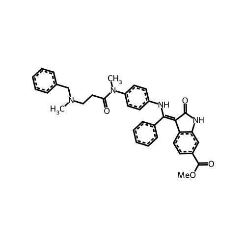 COC(=O)c1ccc2c(c1)NC(=O)/C2=C(\Nc1ccc(N(C)C(=O)CCN(C)Cc2ccccc2)cc1)c1ccccc1